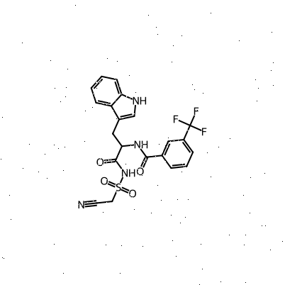 N#CCS(=O)(=O)NC(=O)C(Cc1c[nH]c2ccccc12)NC(=O)c1cccc(C(F)(F)F)c1